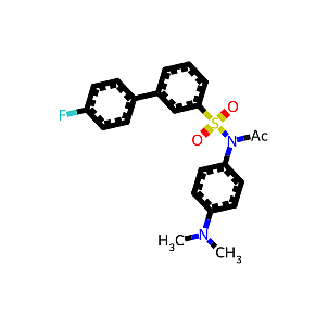 CC(=O)N(c1ccc(N(C)C)cc1)S(=O)(=O)c1cccc(-c2ccc(F)cc2)c1